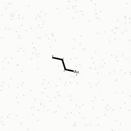 CC[CH2][Au]